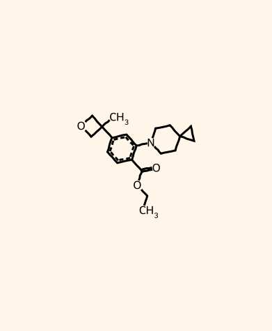 CCOC(=O)c1ccc(C2(C)COC2)cc1N1CCC2(CC1)CC2